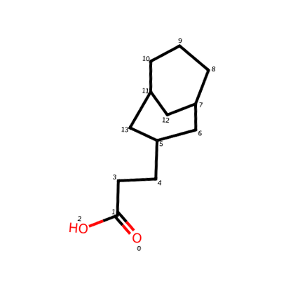 O=C(O)CCC1CC2CCCC(C2)C1